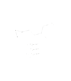 CC(CC#N)CCC1CC1.CN.CN.CN